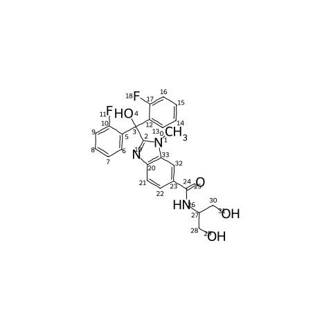 Cn1c(C(O)(c2ccccc2F)c2ccccc2F)nc2ccc(C(=O)NC(CO)CO)cc21